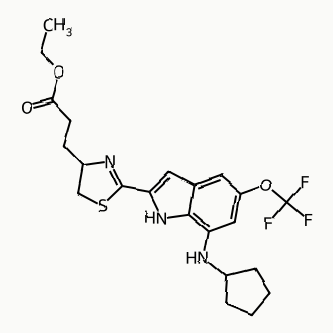 CCOC(=O)CCC1CSC(c2cc3cc(OC(F)(F)F)cc(NC4CCCC4)c3[nH]2)=N1